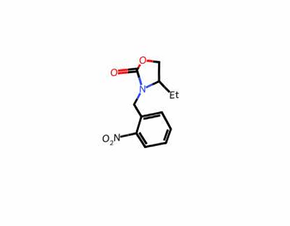 CCC1COC(=O)N1Cc1ccccc1[N+](=O)[O-]